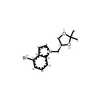 CC1(C)OC[C@H](Cn2ccc3c(Br)cccc32)O1